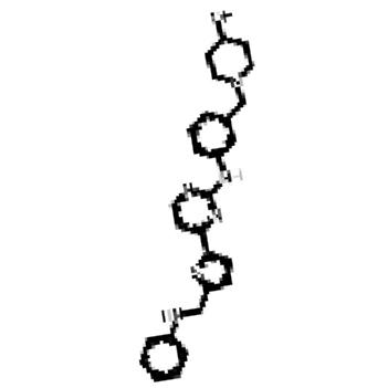 OC1CCN(Cc2cccc(Nc3nccc(-c4ccc(CNc5ccccc5)s4)n3)c2)CC1